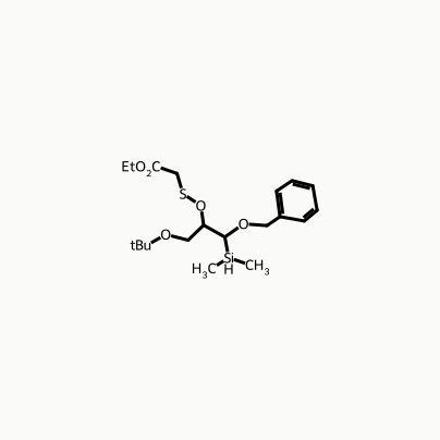 CCOC(=O)CSOC(COC(C)(C)C)C(OCc1ccccc1)[SiH](C)C